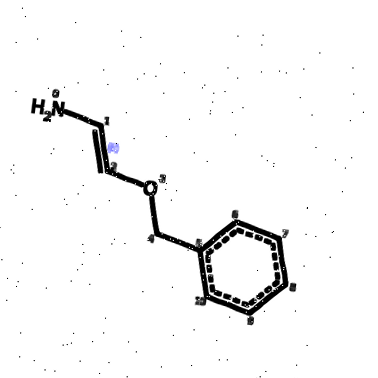 N/C=C/OCc1ccccc1